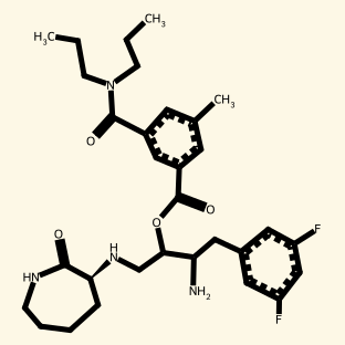 CCCN(CCC)C(=O)c1cc(C)cc(C(=O)OC(CN[C@H]2CCCCNC2=O)C(N)Cc2cc(F)cc(F)c2)c1